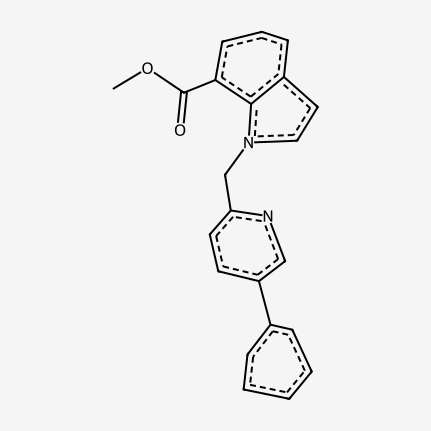 COC(=O)c1cccc2ccn(Cc3ccc(-c4ccccc4)cn3)c12